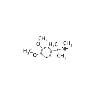 CNC(C)(C)c1ccc(OC)c(OC)c1